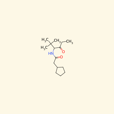 CCC(=O)C(NC(=O)CC1CCCC1)C(C)(C)C